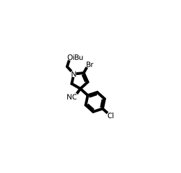 CC(C)COCN1CC(C#N)(c2ccc(Cl)cc2)C=C1Br